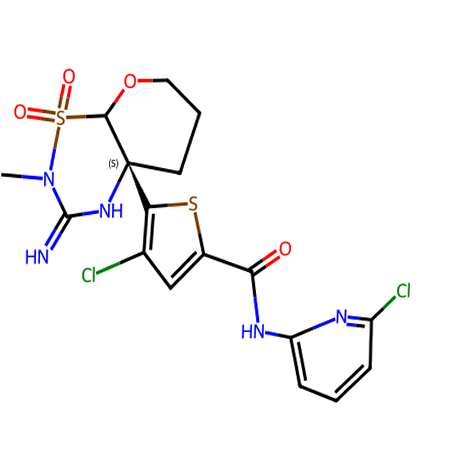 CN1C(=N)N[C@@]2(c3sc(C(=O)Nc4cccc(Cl)n4)cc3Cl)CCCOC2S1(=O)=O